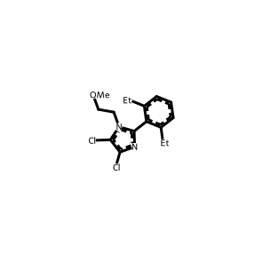 CCc1cccc(CC)c1-c1nc(Cl)c(Cl)n1CCOC